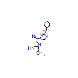 C/C=C1/N=C(C(C#N)c2ccnc(OCC3CCCCC3)n2)SC1=N